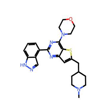 CN1CCC(Cc2cc3nc(-c4cccc5[nH]ncc45)nc(N4CCOCC4)c3s2)CC1